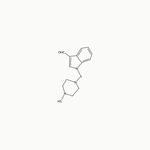 O=Cc1cn(SN2CCN(S)CC2)c2ccccc12